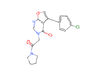 O=C(Cn1cnc2occ(-c3ccc(Cl)cc3)c2c1=O)N1CCCC1